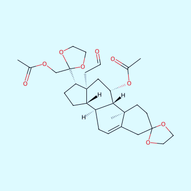 CC(=O)OCC1([C@H]2CC[C@H]3[C@@H]4CC=C5CC6(CC[C@]5(C)[C@H]4[C@@H](OC(C)=O)C[C@]23CC=O)OCCO6)OCCO1